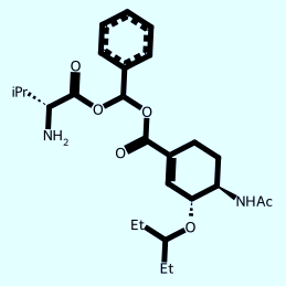 CCC(CC)O[C@@H]1C=C(C(=O)OC(OC(=O)[C@H](N)C(C)C)c2ccccc2)CC[C@H]1NC(C)=O